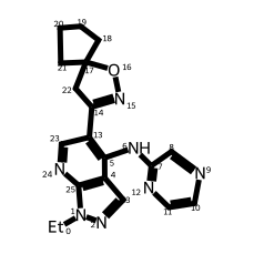 CCn1ncc2c(Nc3cnccn3)c(C3=NOC4(CCCC4)C3)cnc21